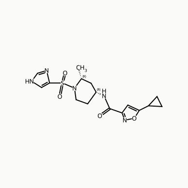 C[C@@H]1C[C@H](NC(=O)c2cc(C3CC3)on2)CCN1S(=O)(=O)c1c[nH]cn1